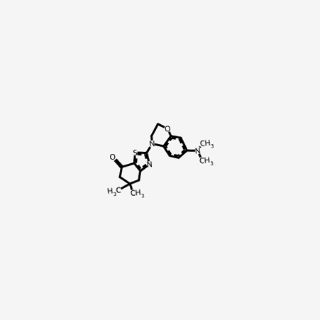 CN(C)c1ccc2c(c1)OCCN2c1nc2c(s1)C(=O)CC(C)(C)C2